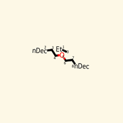 CCC.CCCCCCCCCCCCOCCCCCCCCCCCC